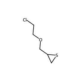 ClCCOCC1CS1